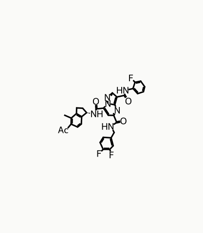 CC(=O)c1ccc2c(c1C)CC[C@@H]2NC(=O)c1cc(C(=O)NCc2ccc(F)c(F)c2)nc2c(C(=O)Nc3ccccc3F)cnn12